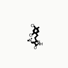 Cc1cc(CCC2=NNC(=O)C2=CN(C)C)c(Cl)cc1Cl